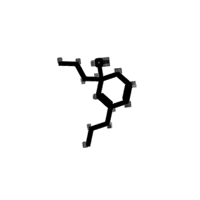 CCCC1=CC(O)(CCC)CC=C1